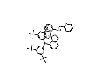 CC(C)(C)c1cc(P(c2cc(C(C)(C)C)cc(C(C)(C)C)c2)c2cccc3c2[C@@]2(CCc4cccc(NCc5ccccn5)c42)CC3)cc(C(C)(C)C)c1